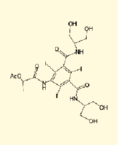 CC(=O)OC(C)C(=O)Nc1c(I)c(C(=O)NC(CO)CO)c(I)c(C(=O)NC(CO)CO)c1I